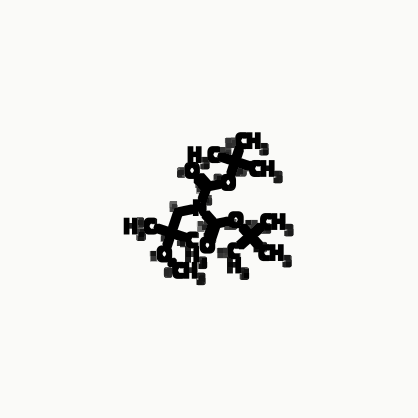 COC(C)(C)CN(C(=O)OC(C)(C)C)C(=O)OC(C)(C)C